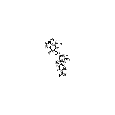 CC(C)n1cnc2c(I)c(OC[C@@H]3C[C@](O)(c4ccc(C(F)F)nc4)C[C@H](C)N3)cc(C(F)(F)F)c21